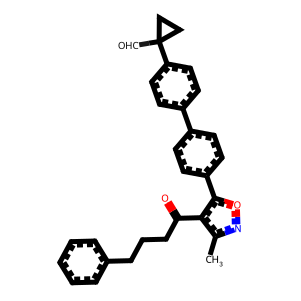 Cc1noc(-c2ccc(-c3ccc(C4(C=O)CC4)cc3)cc2)c1C(=O)CCCc1ccccc1